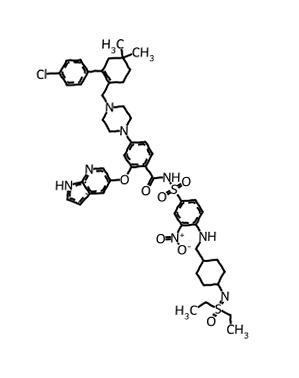 CCS(=O)(CC)=NC1CCC(CNc2ccc(S(=O)(=O)NC(=O)c3ccc(N4CCN(CC5=C(c6ccc(Cl)cc6)CC(C)(C)CC5)CC4)cc3Oc3cnc4[nH]ccc4c3)cc2[N+](=O)[O-])CC1